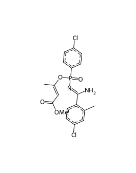 COC(=O)C=C(C)OP(=O)(N=C(N)c1ccc(Cl)cc1C)c1ccc(Cl)cc1